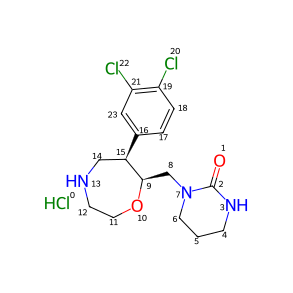 Cl.O=C1NCCCN1C[C@H]1OCCNC[C@H]1c1ccc(Cl)c(Cl)c1